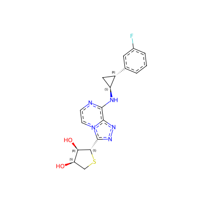 O[C@@H]1[C@H](O)CS[C@H]1c1nnc2c(N[C@H]3C[C@@H]3c3cccc(F)c3)nccn12